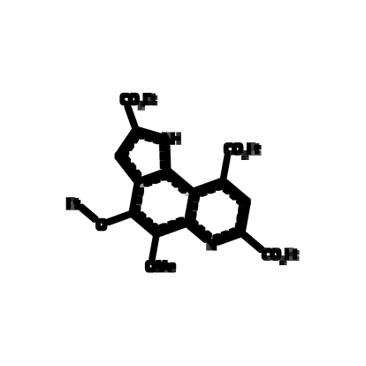 CCOC(=O)c1cc(C(=O)OCC)c2c(n1)c(OC)c(OCC)c1cc(C(=O)OCC)[nH]c12